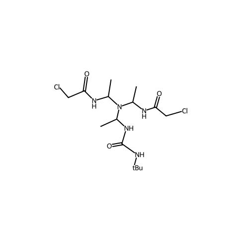 CC(NC(=O)CCl)N(C(C)NC(=O)CCl)C(C)NC(=O)NC(C)(C)C